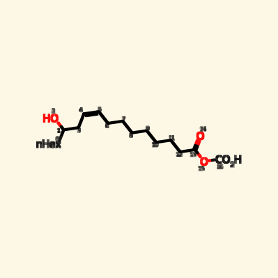 CCCCCCC(O)C/C=C\CCCCCCCC(=O)OC(=O)O